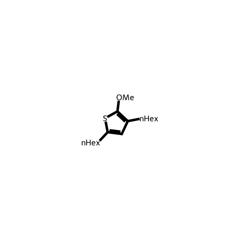 CCCCCCc1cc(CCCCCC)c(OC)s1